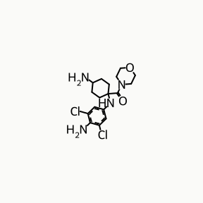 Nc1c(Cl)cc(NC2(C(=O)N3CCOCC3)CCC(N)CC2)cc1Cl